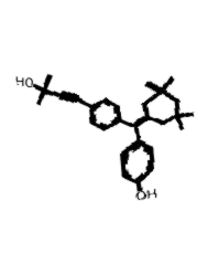 CC(C)(O)C#Cc1ccc(C(=C2CC(C)(C)CC(C)(C)C2)c2ccc(O)cc2)cc1